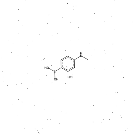 CNc1ccc(B(O)O)cc1.Cl